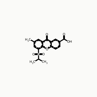 Cc1cc(S(=O)(=O)C(C)C)c2oc3ccc(C(=O)O)cc3c(=O)c2c1